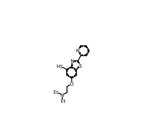 CCN(CC)CCOc1cc(S)c2nc(-c3ccccn3)sc2c1